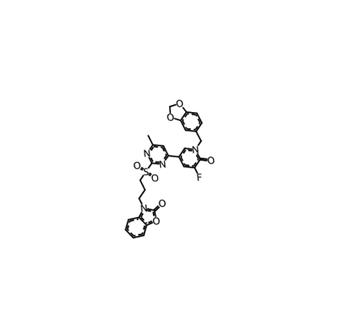 Cc1cc(-c2cc(F)c(=O)n(Cc3ccc4c(c3)OCO4)c2)nc(S(=O)(=O)CCCn2c(=O)oc3ccccc32)n1